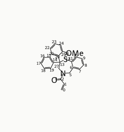 C=CC(=O)N1Cc2ccccc2SC(c2ccccc2)(c2ccccc2OC)C1